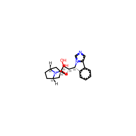 O=C(O)N1[C@@H]2CC[C@H]1C[C@@]1(C[C@@H]([C@H]3c4ccccc4-c4cncn43)[C@@H]1O)C2